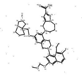 CCc1c(F)ccc2cc(OCOC)cc(N3CCc4c(nc(OC[C@@]56CCCN5C[C@H](F)C6)nc4N4CCCn5nc(C(=O)O)cc5C4)C3)c12